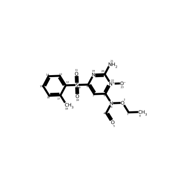 CCON(C=O)c1cc(S(=O)(=O)c2ccccc2C)nc(N)[n+]1[O-]